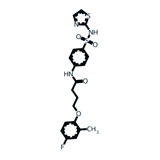 Cc1cc(F)ccc1OCCCC(=O)Nc1ccc(S(=O)(=O)Nc2nccs2)cc1